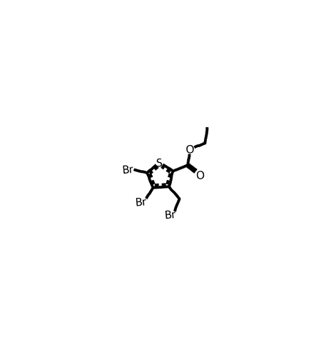 CCOC(=O)c1sc(Br)c(Br)c1CBr